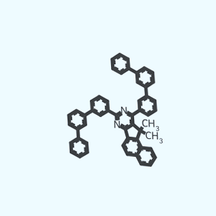 CC1(C)c2c(-c3cccc(-c4cccc(-c5ccccc5)c4)c3)nc(-c3cccc(-c4cccc(-c5ccccc5)c4)c3)nc2-c2ccc3ccccc3c21